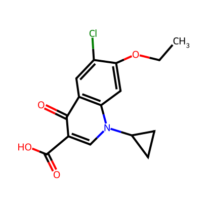 CCOc1cc2c(cc1Cl)c(=O)c(C(=O)O)cn2C1CC1